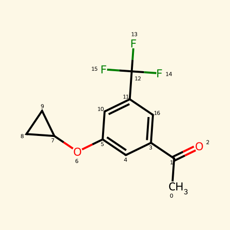 CC(=O)c1cc(OC2CC2)cc(C(F)(F)F)c1